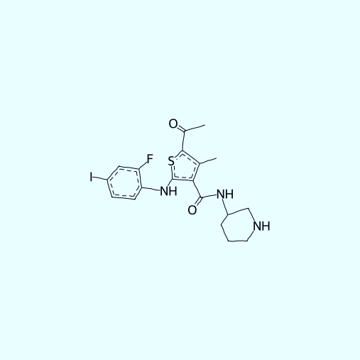 CC(=O)c1sc(Nc2ccc(I)cc2F)c(C(=O)NC2CCCNC2)c1C